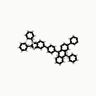 c1ccc(-c2ccc3c(-c4ccc(-c5ccc6c(c5)nc(-c5ccccc5)n6-c5ccccc5)cc4)c4ccccc4c(-c4ccccc4)c3c2)cc1